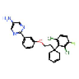 Nc1cnc(-c2cccc(OCCC3(c4c(Cl)ccc(F)c4Cl)C=CC=CC3)c2)nc1